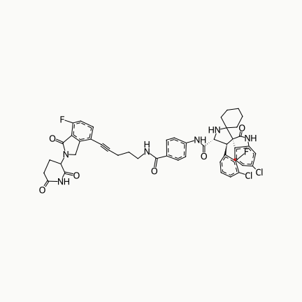 O=C1CCC(N2Cc3c(C#CCCCNC(=O)c4ccc(NC(=O)[C@@H]5NC6(CCCCC6)[C@@]6(C(=O)Nc7cc(Cl)ccc76)[C@H]5c5cccc(Cl)c5F)cc4)ccc(F)c3C2=O)C(=O)N1